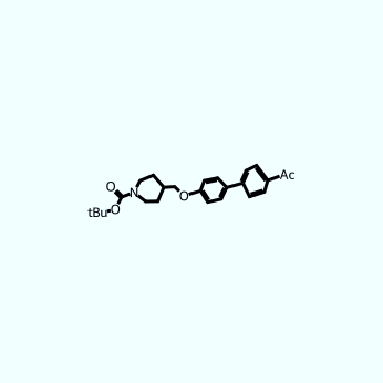 CC(=O)c1ccc(-c2ccc(OCC3CCN(C(=O)OC(C)(C)C)CC3)cc2)cc1